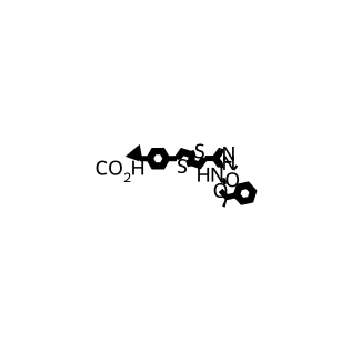 C[C@@H](OC(=O)Nc1c(-c2cc3sc(-c4ccc(C5(C(=O)O)CC5)cc4)cc3s2)cnn1C)c1ccccc1